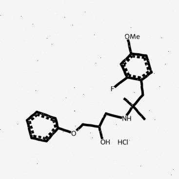 COc1ccc(CC(C)(C)NCC(O)COc2ccccc2)c(F)c1.Cl